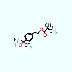 C=C(C)C(=O)OCCc1ccc(C(O)(C(F)(F)F)C(F)(F)F)cc1